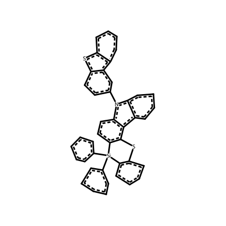 c1ccc([Si]2(c3ccccc3)c3ccccc3Sc3c2ccc2c3c3ccccc3n2-c2ccc3sc4ccccc4c3c2)cc1